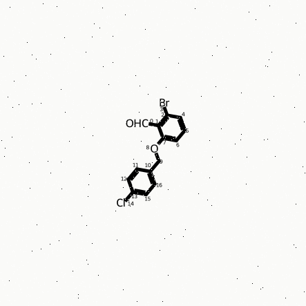 O=Cc1c(Br)cccc1OCc1ccc(Cl)cc1